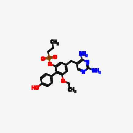 CCCS(=O)(=O)Oc1cc(Cc2cnc(N)nc2N)cc(OCC)c1-c1ccc(O)cc1